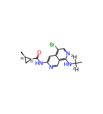 [2H]C([2H])(C)Nc1ncc(Br)c2cc(NC(=O)[C@H]3C[C@H]3C)ncc12